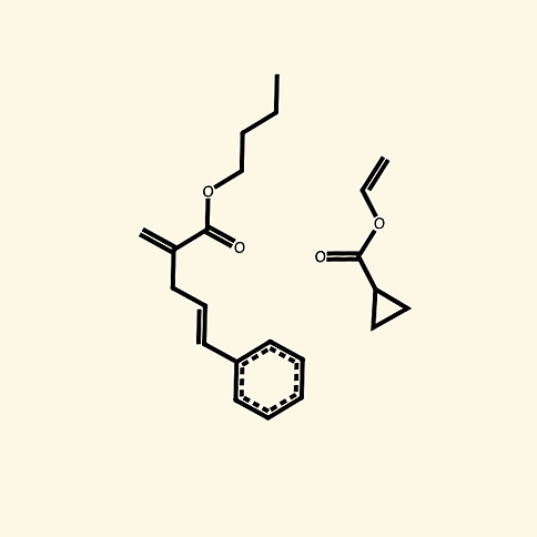 C=C(CC=Cc1ccccc1)C(=O)OCCCC.C=COC(=O)C1CC1